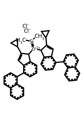 C[Si](C)=[Zr+2]([CH]1C(C2CC2)=Cc2c(-c3cccc4ccccc34)cccc21)[CH]1C(C2CC2)=Cc2c(-c3cccc4ccccc34)cccc21.[Cl-].[Cl-]